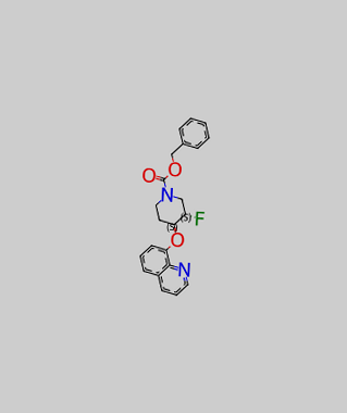 O=C(OCc1ccccc1)N1CC[C@H](Oc2cccc3cccnc23)[C@@H](F)C1